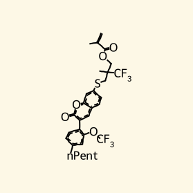 C=C(C)C(=O)OCC(C)(CSc1ccc2cc(-c3ccc(CCCCC)cc3OC(F)(F)F)c(=O)oc2c1)C(F)(F)F